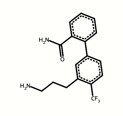 NCCCc1cc(-c2ccccc2C(N)=O)ccc1C(F)(F)F